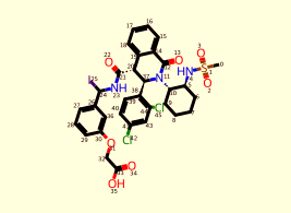 CS(=O)(=O)N[C@H]1CCCC[C@@H]1N1C(=O)c2ccccc2[C@@H](C(=O)NC(I)c2cccc(OCC(=O)O)c2)[C@@H]1c1ccc(Cl)cc1Cl